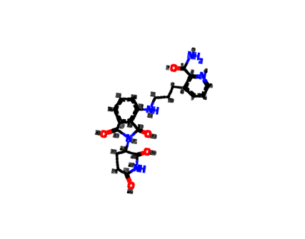 NC(=O)c1ncccc1CCCNc1cccc2c1C(=O)N(C1CCC(=O)NC1=O)C2=O